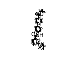 CC(C)(C)OC(=O)N1CCN(C2CCC(NC(=O)c3ccnc(-n4ccnc4)n3)CC2)CC1